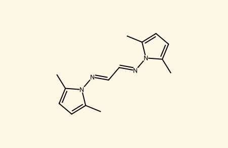 Cc1ccc(C)n1/N=C/C=N/n1c(C)ccc1C